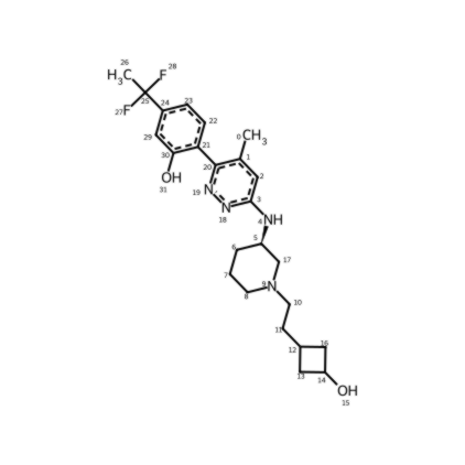 Cc1cc(N[C@@H]2CCCN(CCC3CC(O)C3)C2)nnc1-c1ccc(C(C)(F)F)cc1O